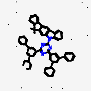 C/C=C\C(=C/C)c1cc(-c2ccccc2)cc(-c2nc(-c3cc(-c4ccccc4)cc(-c4ccccc4)c3)nc(-n3c4ccccc4c4cc5c(cc43)C(C)(C)c3ccccc3-5)n2)c1